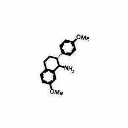 COc1ccc([C@H]2CCc3ccc(OC)cc3[C]2N)cc1